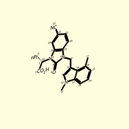 CCC[C@@H](C(=O)O)n1c(=O)n(Cc2cn(C)c3cccc(C)c23)c2ccc(C#N)cc21